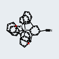 N#Cc1cc(C#N)c([Si](c2ccccc2)(c2ccccc2)c2ccccc2)c(-c2ccccc2-n2c3ccccc3c3ccccc32)c1